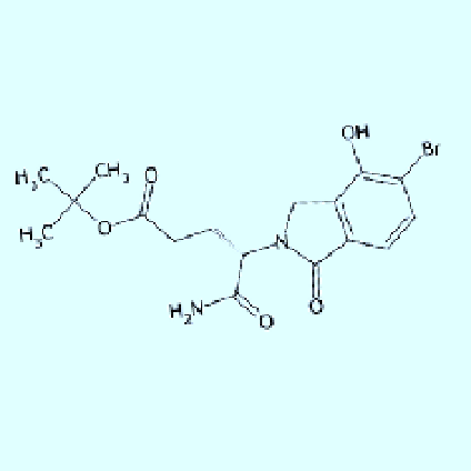 CC(C)(C)OC(=O)CC[C@@H](C(N)=O)N1Cc2c(ccc(Br)c2O)C1=O